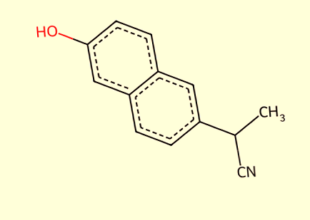 CC(C#N)c1ccc2cc(O)ccc2c1